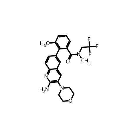 Cc1cccc(C(=O)N(C)CC(F)(F)F)c1-c1ccc2nc(N)c(N3CCOCC3)cc2c1